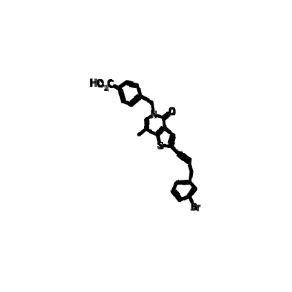 Cc1cn(Cc2ccc(C(=O)O)cc2)c(=O)c2cc(C#CCc3cccc(Br)c3)sc12